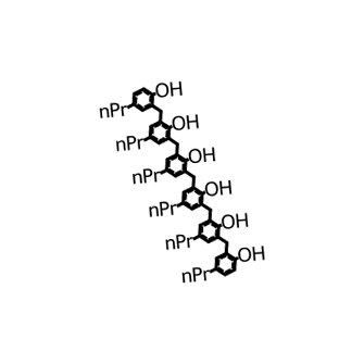 CCCc1ccc(O)c(Cc2cc(CCC)cc(Cc3cc(CCC)cc(Cc4cc(CCC)cc(Cc5cc(CCC)cc(Cc6cc(CCC)ccc6O)c5O)c4O)c3O)c2O)c1